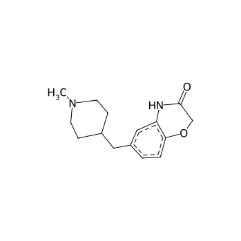 CN1CCC(Cc2ccc3c(c2)NC(=O)CO3)CC1